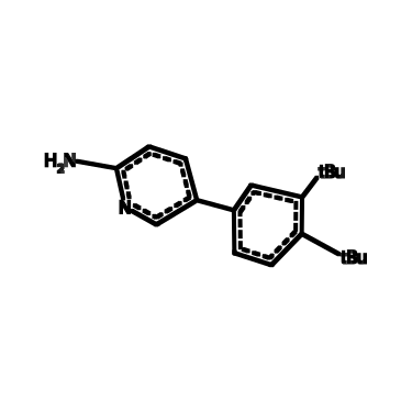 CC(C)(C)c1ccc(-c2ccc(N)nc2)cc1C(C)(C)C